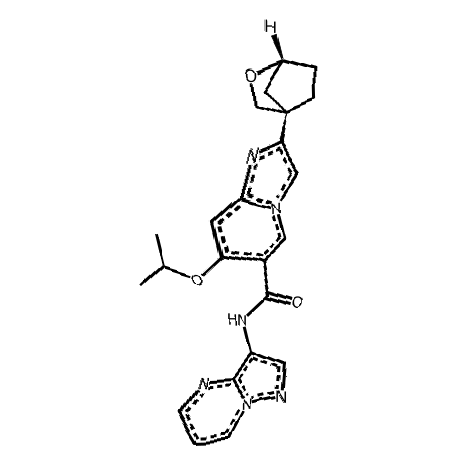 CC(C)Oc1cc2nc([C@]34CC[C@H](C3)OC4)cn2cc1C(=O)Nc1cnn2cccnc12